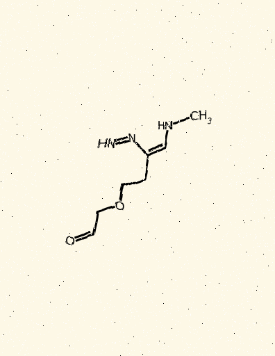 CN/C=C(/CCOCC=O)N=N